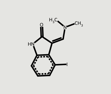 CN(C)C=C1C(=O)Nc2cccc(I)c21